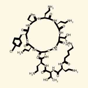 CC[C@H](C)CCCCC(=O)N[C@@H](CCN)C(=O)N[C@H](C(=O)N[C@@H](CCN)C(=O)N[C@H]1CCNC(=O)[C@H]([C@@H](C)O)NC(=O)[C@H](CCN)NC(=O)[C@H](CCN)NC(=O)[C@H](CC(C)C)NC(=O)[C@@H](Cc2ccc(Cl)cc2)NC(=O)[C@H](CCN)NC1=O)[C@@H](C)O